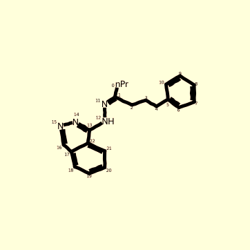 CCC/C(CCCc1ccccc1)=N/Nc1nncc2ccccc12